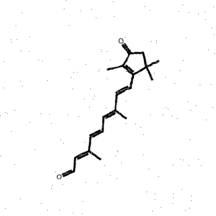 CC1=C(/C=C/C(C)=C/C=C/C(C)=C/C=O)C(C)(C)CC1=O